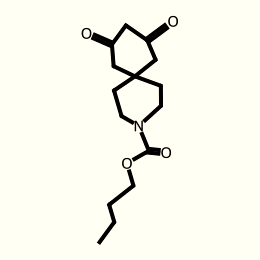 CCCCOC(=O)N1CCC2(CC1)CC(=O)CC(=O)C2